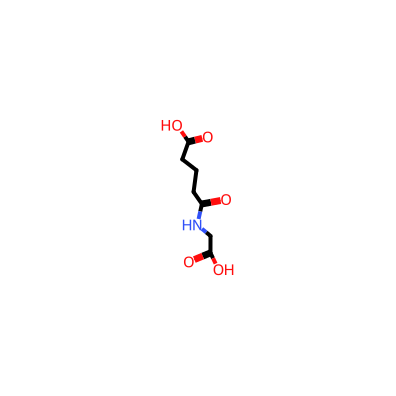 O=C(O)CCCC(=O)NCC(=O)O